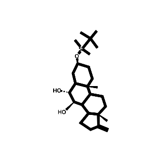 C=C1CCC2C3C(CC[C@]12C)[C@@]1(C)CC[C@H](O[Si](C)(C)C(C)(C)C)CC1[C@@H](O)[C@@H]3O